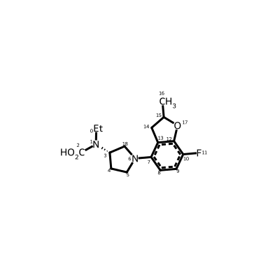 CCN(C(=O)O)[C@H]1CCN(c2ccc(F)c3c2CC(C)O3)C1